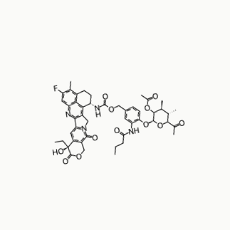 CCCC(=O)Nc1cc(COC(=O)N[C@H]2CCc3c(C)c(F)cc4nc5c(c2c34)Cn2c-5cc3c(c2=O)COC(=O)[C@]3(O)CC)ccc1O[C@@H]1OC(C(C)=O)[C@@H](C)[C@H](C)C1OC(C)=O